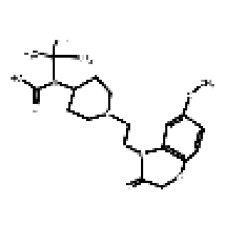 COc1ccc2c(c1)N(CCN1CCC(N(C(=O)O)C(C)(C)C)CC1)C(=O)CO2